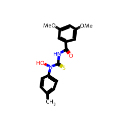 COc1cc(OC)cc(C(=O)NC(=S)N(O)c2ccc(C)cc2)c1